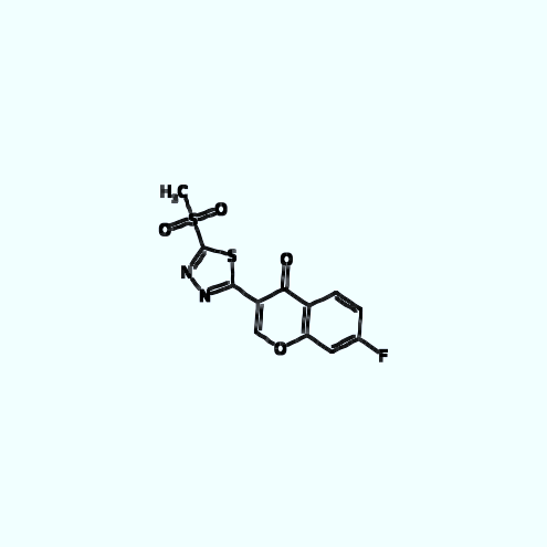 CS(=O)(=O)c1nnc(-c2coc3cc(F)ccc3c2=O)s1